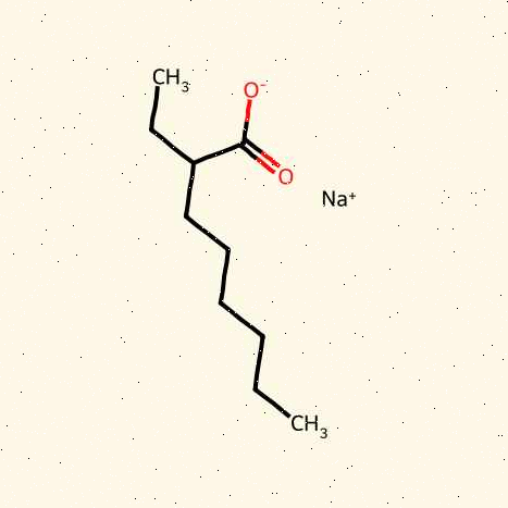 CCCCCCC(CC)C(=O)[O-].[Na+]